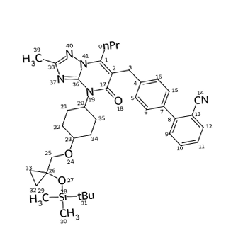 CCCc1c(Cc2ccc(-c3ccccc3C#N)cc2)c(=O)n(C2CCC(OCC3(O[Si](C)(C)C(C)(C)C)CC3)CC2)c2nc(C)nn12